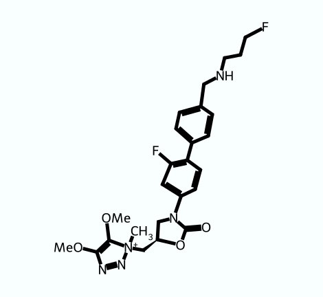 COC1=C(OC)[N+](C)(C[C@H]2CN(c3ccc(-c4ccc(CNCCCF)cc4)c(F)c3)C(=O)O2)N=N1